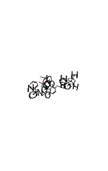 CC(C)(C)OC(=O)Oc1c(CCB2O[C@@H]3C[C@@H]4C[C@@H](C4(C)C)[C@]3(C)O2)ccc(OC2CN(C(=O)c3ccccn3)C2)c1C(=O)OC(C)(C)C